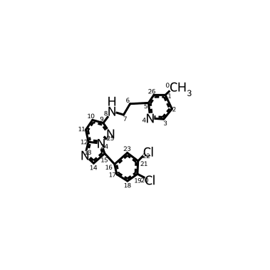 Cc1ccnc(CCNc2ccc3ncc(-c4ccc(Cl)c(Cl)c4)n3n2)c1